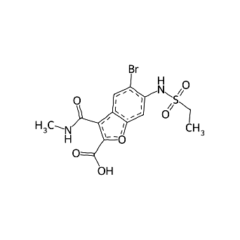 CCS(=O)(=O)Nc1cc2oc(C(=O)O)c(C(=O)NC)c2cc1Br